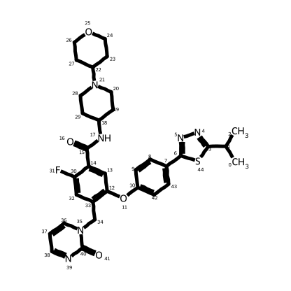 CC(C)c1nnc(-c2ccc(Oc3cc(C(=O)NC4CCN(C5CCOCC5)CC4)c(F)cc3Cn3cccnc3=O)cc2)s1